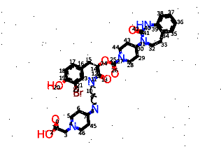 O=C(O)CN1CCC(N=C=C=NC(=O)[C@@H](Cc2ccc(O)c(Br)c2)OC(=O)N2CCC(N3CCc4ccccc4NC3=O)CC2)CC1